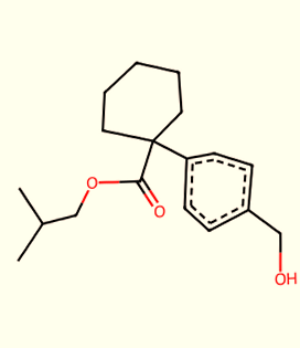 CC(C)COC(=O)C1(c2ccc(CO)cc2)CCCCC1